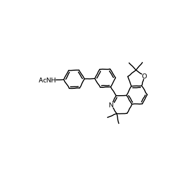 CC(=O)Nc1ccc(-c2cccc(C3=NC(C)(C)Cc4ccc5c(c43)CC(C)(C)O5)c2)cc1